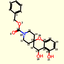 O=C(OCc1ccccc1)N1CCC2(CC1)CC(O)c1c(O)cccc1O2